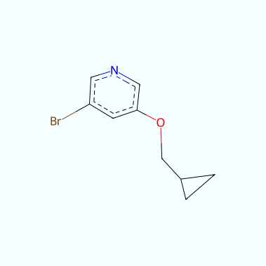 Brc1cncc(OCC2CC2)c1